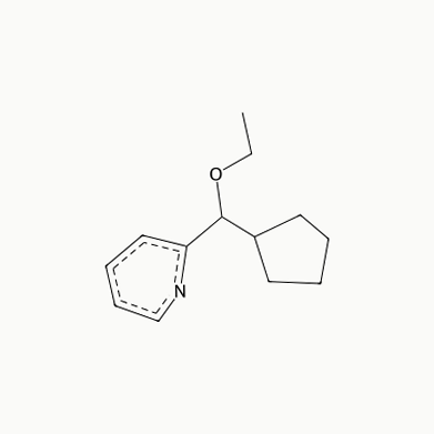 CCOC(c1ccccn1)C1CCCC1